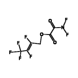 O=C(OC/C(F)=C(\F)C(F)(F)F)C(=O)N(F)F